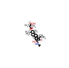 CC(C)C1=C2[C@H]3CCC4[C@@]5(C)CC[C@H](OC(=O)CC(C)(C)C(=O)O)C(C)(C)C5CC[C@@]4(C)[C@]3(C)CCC2([C@H](O)CNC2CC2)CC1=O